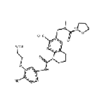 COCCOc1cc(NC(=O)N2CCCc3cc(CN(C)C(=O)[C@H]4CCCO4)c(C=O)nc32)ncc1C#N